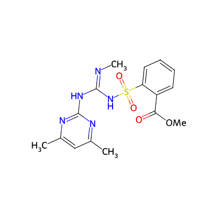 CN=C(Nc1nc(C)cc(C)n1)NS(=O)(=O)c1ccccc1C(=O)OC